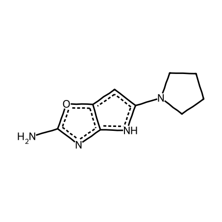 Nc1nc2[nH]c(N3CCCC3)cc2o1